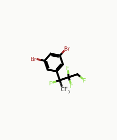 FCC(F)(F)C(F)(c1cc(Br)[c]c(Br)c1)C(F)(F)F